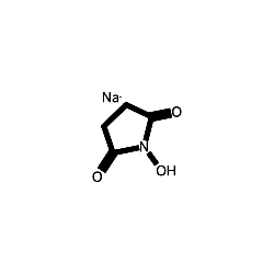 O=C1CCC(=O)N1O.[Na]